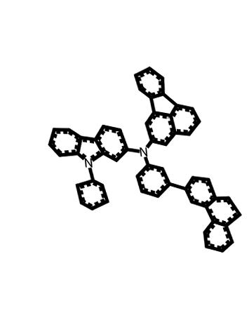 c1ccc(-n2c3ccccc3c3ccc(N(c4cccc(-c5ccc6ccc7ccccc7c6c5)c4)c4cc5c6c(cccc6c4)-c4ccccc4-5)cc32)cc1